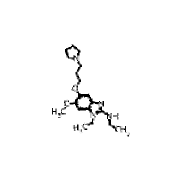 CCNc1nc2cc(OCCCN3CCCC3)c(OC)cc2n1CC